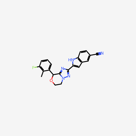 Cc1c(F)cccc1C1OCCn2nc(-c3cc4cc(C#N)ccc4[nH]3)nc21